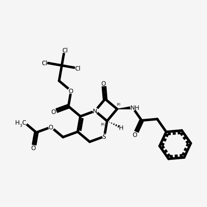 CC(=O)OCC1=C(C(=O)OCC(Cl)(Cl)Cl)N2C(=O)[C@@H](NC(=O)Cc3ccccc3)[C@H]2SC1